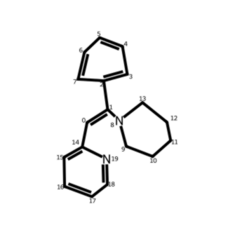 C(=C(\c1ccccc1)N1CCCCC1)/c1ccccn1